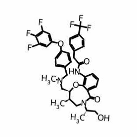 C[C@@H]1CN([C@@H](C)CO)C(=O)c2cccc(NC(=O)Cc3ccc(C(F)(F)F)cc3)c2O[C@@H]1CN(C)Cc1ccc(Oc2cc(F)c(F)c(F)c2)cc1